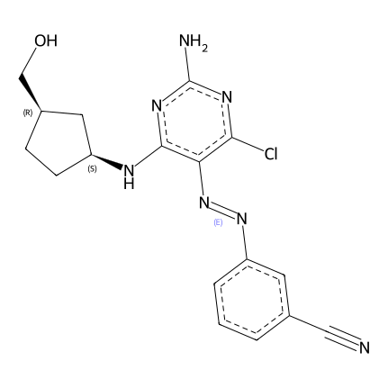 N#Cc1cccc(/N=N/c2c(Cl)nc(N)nc2N[C@H]2CC[C@@H](CO)C2)c1